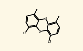 Cc1ccc(Cl)c2c1Sc1c(C)ccc(Cl)c1S2